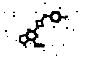 CNc1nc(N2CC(Oc3ccc(F)cc3)C2)nc2c1SCC2